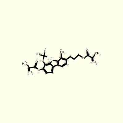 C=C(C)C(=O)OCCCc1ccc2c(sc3c(OC(F)(F)F)c(OC(=O)C(=C)C)ccc32)c1C